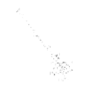 CN[C@@H](CO)C(=O)N[C@@H](CO)C(=O)N[C@@H](CCC(=O)O)C(=O)N[C@@H](CCC(=O)O)C(=O)N[C@@H](CO)C(=O)N[C@@H](CO)C(=O)N[C@@H](CCCCNC(=O)COCCOCCNC(=O)CCCCCCCCCCCCCCCC(=O)O)C(N)=O